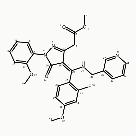 COC(=O)CC1=NN(c2ccccc2OC)C(=O)/C1=C(/NCc1cccnc1)c1ccc(OC)cc1F